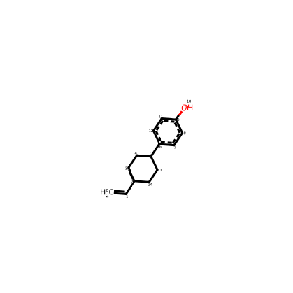 C=CC1CCC(c2ccc(O)cc2)CC1